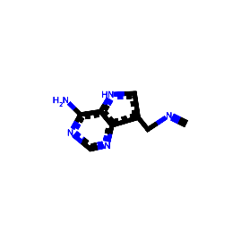 C=NCc1c[nH]c2c(N)ncnc12